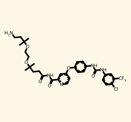 CC(C)(CCN)OCCOC(C)(C)CCC(=O)NC(=O)c1cc(Oc2ccc(NC(=O)Nc3ccc(Cl)c(C(F)(F)F)c3)cc2)ccn1